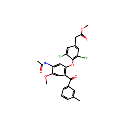 COC(=O)Cc1cc(Br)c(Oc2cc(NC(C)=O)c(OC)cc2C(=O)c2cccc(C)c2)c(Br)c1